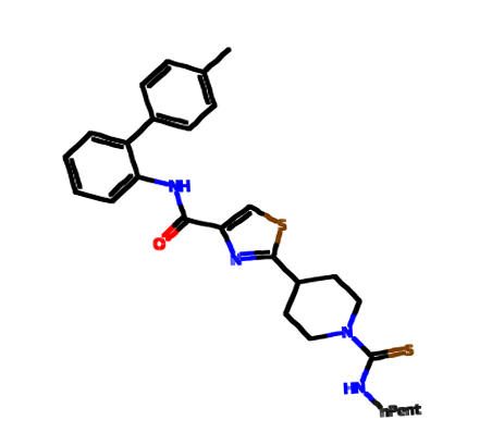 CCCCCNC(=S)N1CCC(c2nc(C(=O)Nc3ccccc3-c3ccc(C)cc3)cs2)CC1